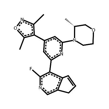 Cc1noc(C)c1-c1cc(-c2c(F)ncc3c2C=CC3)nc(N2CCOC[C@H]2C)c1